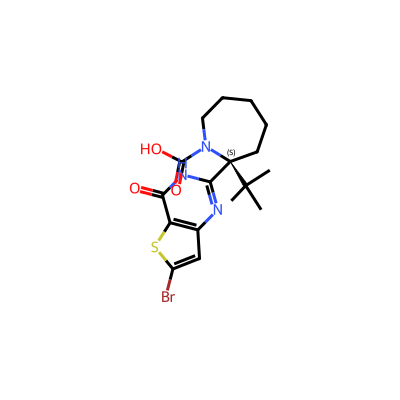 CC(C)(C)[C@]1(c2nc3cc(Br)sc3c(=O)[nH]2)CCCCCN1C(=O)O